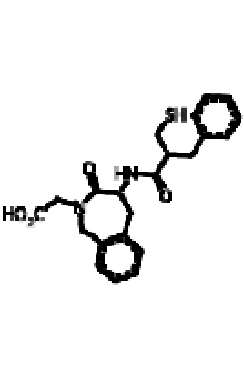 O=C(O)CN1Cc2ccccc2C[C@H](NC(=O)[C@@H](CS)Cc2ccccc2)C1=O